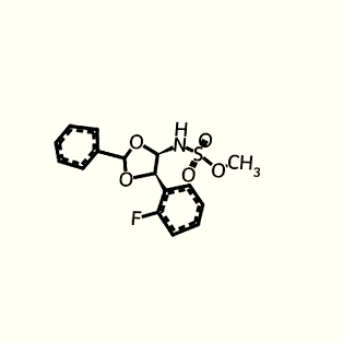 COS(=O)(=O)N[C@@H]1OC(c2ccccc2)O[C@@H]1c1ccccc1F